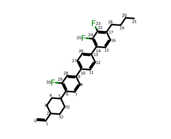 C=CC1CCC(c2ccc(-c3ccc(-c4ccc(CCCC)c(F)c4F)cc3)cc2F)CC1